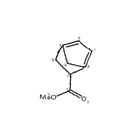 COC(=O)C1CC2=CC=C1C2